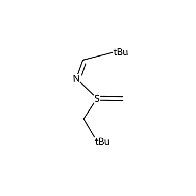 C=S(CC(C)(C)C)/N=C\C(C)(C)C